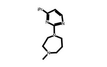 CC(C)c1ccnc(N2CCCN(C)CC2)n1